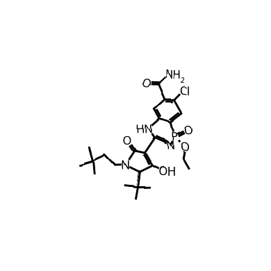 CCOP1(=O)N=C(C2=C(O)C(C(C)(C)C)N(CCC(C)(C)C)C2=O)Nc2cc(C(N)=O)c(Cl)cc21